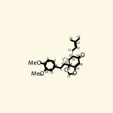 COc1ccc(C[C@H](C)[C@]23C[C@H](CC=C(C)C)C(=O)C=C2OCO3)cc1OC